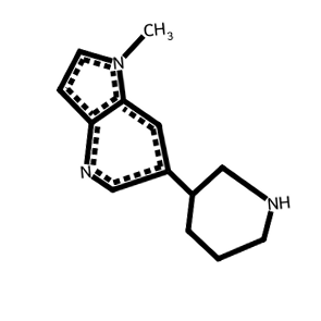 Cn1ccc2ncc(C3CCCNC3)cc21